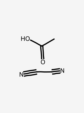 CC(=O)O.N#CC#N